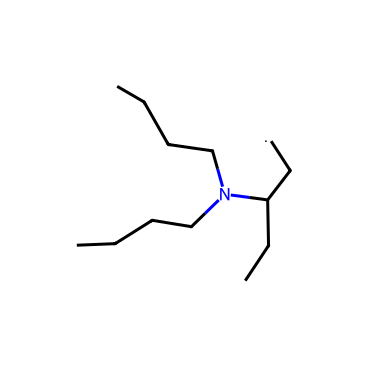 [CH2]CC(CC)N(CCCC)CCCC